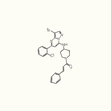 O=C(/C=C/c1ccccc1)N1CCC(Nc2cc(-c3ccccc3Cl)nc3c(Br)cnn23)CC1